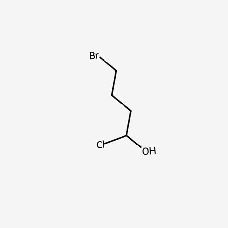 OC(Cl)CCCBr